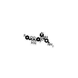 NCC1CCC(C(=O)Nc2cnccc2Oc2ccc(NC(=O)NC(=O)Cc3ccc(F)cc3)cc2F)CC1